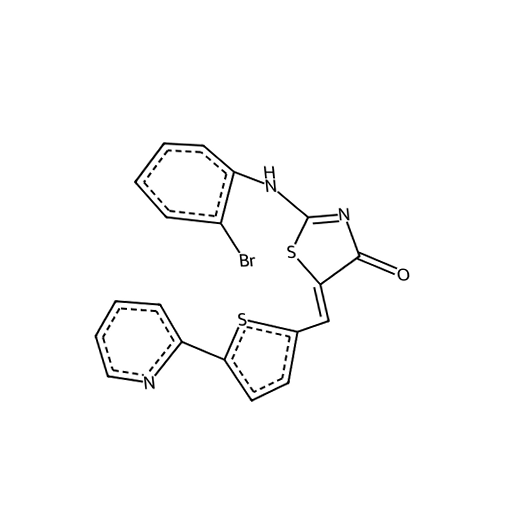 O=C1N=C(Nc2ccccc2Br)S/C1=C\c1ccc(-c2ccccn2)s1